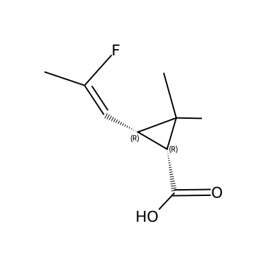 CC(F)=C[C@H]1[C@@H](C(=O)O)C1(C)C